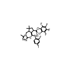 Cc1nnc2n1CC1C(=C(Nc3ccc(I)cc3F)S2)C(C(=O)Oc2c(F)c(F)c(F)c(F)c2F)CC1(C)C